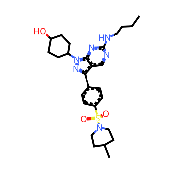 CCCCNc1ncc2c(-c3ccc(S(=O)(=O)N4CCC(C)CC4)cc3)nn(C3CCC(O)CC3)c2n1